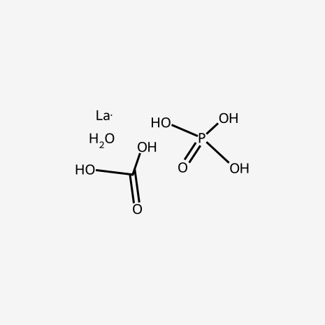 O.O=C(O)O.O=P(O)(O)O.[La]